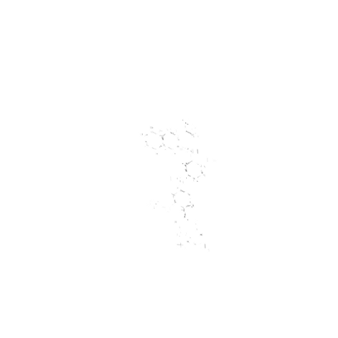 COc1cc(Nc2ncc(F)c(Nc3cc4ccccc4nc3C(N)=O)n2)cnc1N1CCC(C)(O)CC1